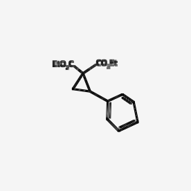 CCOC(=O)C1(C(=O)OCC)CC1c1ccccc1